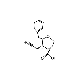 C#CC[C@H]1C(Cc2ccccc2)OCCN1C(=O)O